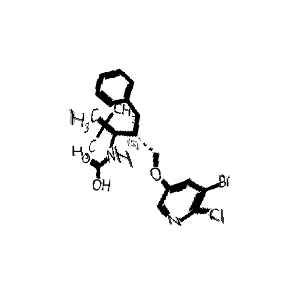 CC(C)(C)C(NC(=O)O)[C@@H](COc1cnc(Cl)c(Br)c1)Cc1ccccc1